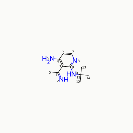 CC(=N)c1c(N)ccnc1NC(C)(C)C